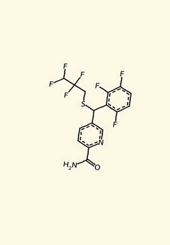 NC(=O)c1ccc(C(SCC(F)(F)C(F)F)c2c(F)ccc(F)c2F)cn1